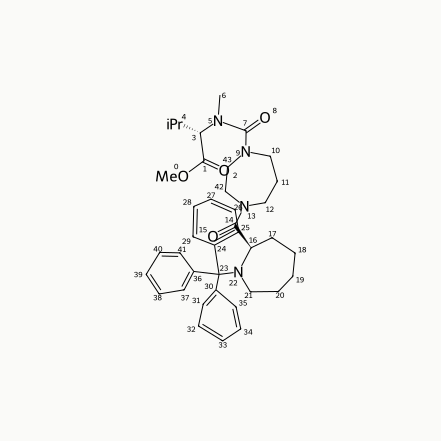 COC(=O)[C@H](C(C)C)N(C)C(=O)N1CCCN(C(=O)[C@H]2CCCCCN2C(c2ccccc2)(c2ccccc2)c2ccccc2)CC1